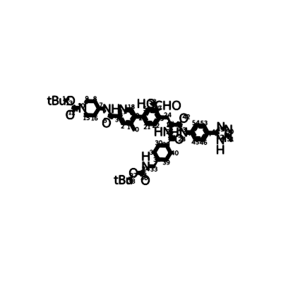 Cc1cc(C(=O)NC2CCN(C(=O)OC(C)(C)C)CC2)ncc1-c1ccc(C[C@H](NC(=O)[C@H]2CC[C@H](CNC(=O)OC(C)(C)C)CC2)C(=O)Nc2ccc(-c3nnn[nH]3)cc2)cc1.O=CO